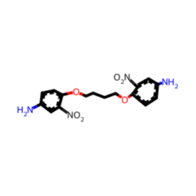 Nc1ccc(OCCCCOc2ccc(N)cc2[N+](=O)[O-])c([N+](=O)[O-])c1